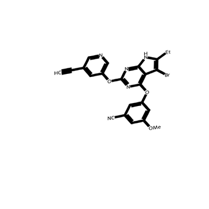 C#Cc1cncc(Oc2nc(Oc3cc(C#N)cc(OC)c3)c3c(Br)c(CC)[nH]c3n2)c1